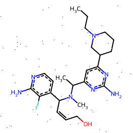 CCCN1CCCC(c2cc(C(C)N(C)C(/C=C\CO)c3ccnc(N)c3F)nc(N)n2)C1